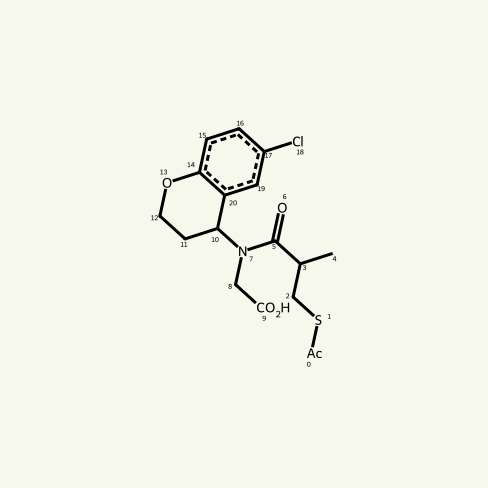 CC(=O)SCC(C)C(=O)N(CC(=O)O)C1CCOc2ccc(Cl)cc21